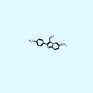 Cc1ccc(-c2nc3ccc(C)cn3c2CCl)cc1